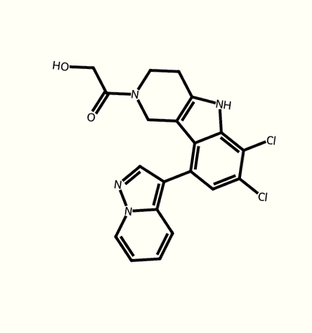 O=C(CO)N1CCc2[nH]c3c(Cl)c(Cl)cc(-c4cnn5ccccc45)c3c2C1